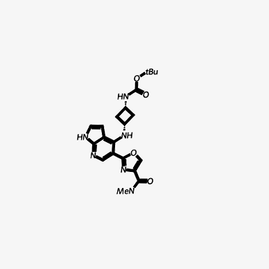 CNC(=O)c1coc(-c2cnc3[nH]ccc3c2N[C@H]2C[C@@H](NC(=O)OC(C)(C)C)C2)n1